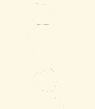 O=C(O)c1ccc(OCCC2CCCCC2)cc1